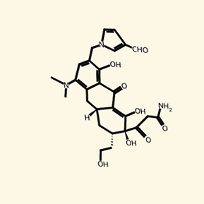 CN(C)c1cc(Cn2ccc(C=O)c2)c(O)c2c1C[C@H]1C[C@@H](CCO)[C@@](O)(C(=O)CC(N)=O)C(O)=C1C2=O